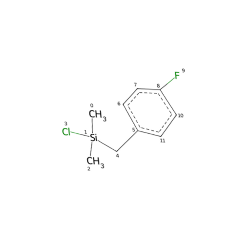 C[Si](C)(Cl)Cc1ccc(F)cc1